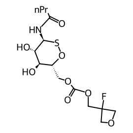 CCCC(=O)N[C@H]1SO[C@H](COC(=O)OCC2(F)COC2)[C@@H](O)[C@@H]1O